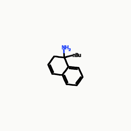 CCCCC1(N)CC=Cc2ccccc21